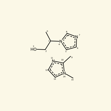 CC(CO)n1ccnc1.Cc1nccn1C